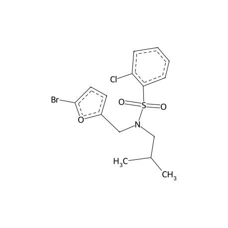 CC(C)CN(Cc1ccc(Br)o1)S(=O)(=O)c1ccccc1Cl